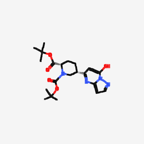 CC(C)(C)OC(=O)[C@@H]1CC[C@H](c2cc(O)n3nccc3n2)CN1C(=O)OC(C)(C)C